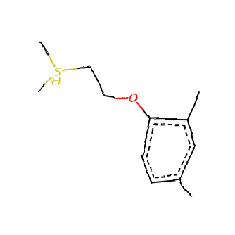 Cc1ccc(OCC[SH](C)C)c(C)c1